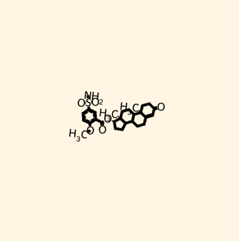 COc1ccc(S(N)(=O)=O)cc1C(=O)O[C@H]1CCC2C3CCC4=CC(=O)CC[C@]4(C)C3CC[C@@]21C